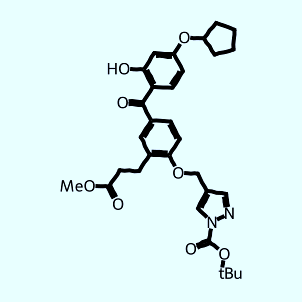 COC(=O)CCc1cc(C(=O)c2ccc(OC3CCCC3)cc2O)ccc1OCc1cnn(C(=O)OC(C)(C)C)c1